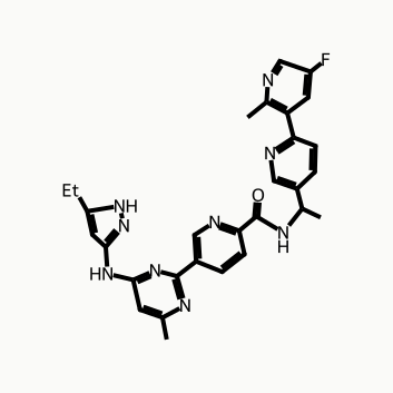 CCc1cc(Nc2cc(C)nc(-c3ccc(C(=O)NC(C)c4ccc(-c5cc(F)cnc5C)nc4)nc3)n2)n[nH]1